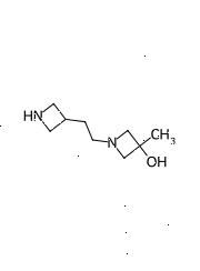 CC1(O)CN(CCC2CNC2)C1